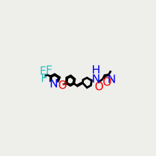 Cc1cc(C(=O)NC2CCC(=Cc3cccc(Oc4ccc(C(F)(F)F)cn4)c3)CC2)on1